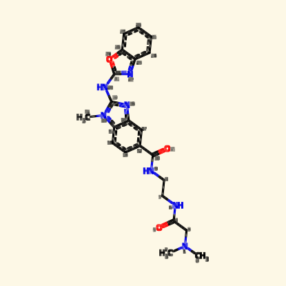 CN(C)CC(=O)NCCNC(=O)c1ccc2c(c1)nc(Nc1nc3ccccc3o1)n2C